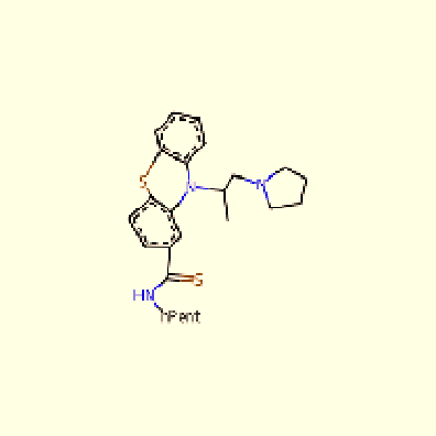 CCCCCNC(=S)c1ccc2c(c1)N(C(C)CN1CCCC1)c1ccccc1S2